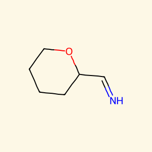 N=CC1CCCCO1